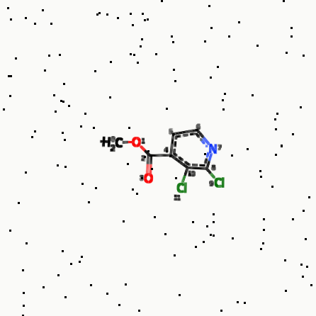 [CH2]OC(=O)c1ccnc(Cl)c1Cl